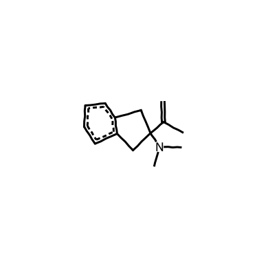 C=C(C)C1(N(C)C)Cc2ccccc2C1